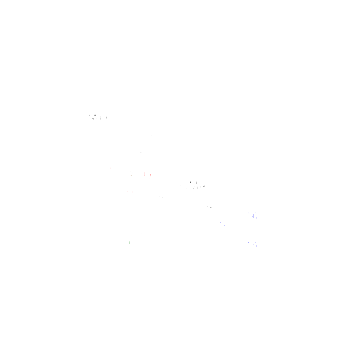 COc1cccc(S(=O)(=O)Oc2cc(C)cc(C3CCN(C(=N)N)CC3)c2OC)c1.Cl